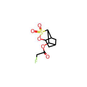 O=C(CF)OC1C2CC3OS(=O)(=O)C1C3C2